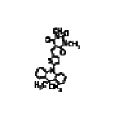 CN1C(=O)C(=Cc2ccc(N3c4ccccc4C(C)(C)c4ccccc43)s2)C(=O)N(C)C1=O